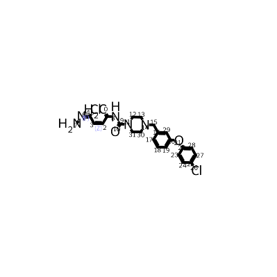 C=C(/C=C\C(Cl)=N/N)NC(=O)N1CCN(Cc2cccc(Oc3ccc(Cl)cc3)c2)CC1